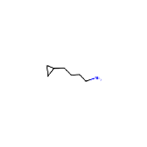 NCCCCC1[CH]C1